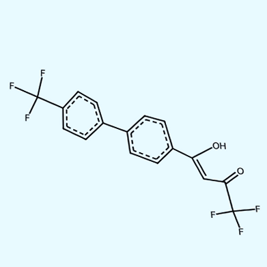 O=C(C=C(O)c1ccc(-c2ccc(C(F)(F)F)cc2)cc1)C(F)(F)F